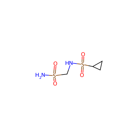 NS(=O)(=O)CNS(=O)(=O)C1CC1